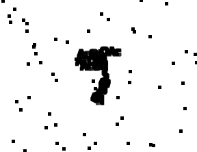 CC(=O)OCC1OC(OCCCCc2ccc(OCc3cccnc3)cc2)C(OC(C)=O)C(OC(C)=O)C1OC(C)=O